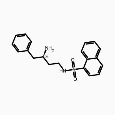 N[C@@H](CCNS(=O)(=O)c1cccc2ccccc12)Cc1ccccc1